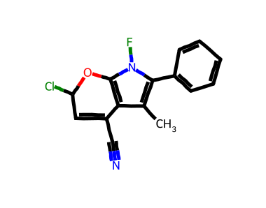 Cc1c2c(n(F)c1-c1ccccc1)OC(Cl)C=C2C#N